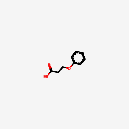 O=C(O)CCOc1ccccc1